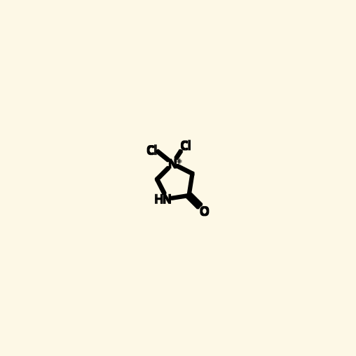 O=C1C[N+](Cl)(Cl)CN1